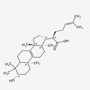 CC(C)=CCC[C@@H](C(=O)O)[C@H]1CC[C@@]2(C)C3=C(CC[C@]12C)[C@@]1(C)CC[C@H](O)C(C)(C)C1CC3